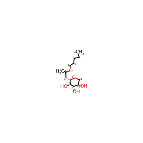 CCCCCOC(C)C[C@@H]1OC[C@@H](O)[C@H](O)[C@H]1O